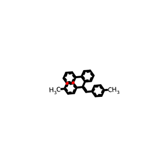 Cc1ccc(C=C(c2ccc(C)cc2)c2ccccc2-c2ccccc2)cc1